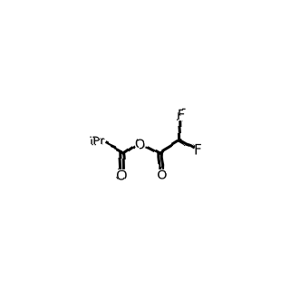 CC(C)C(=O)OC(=O)C(F)F